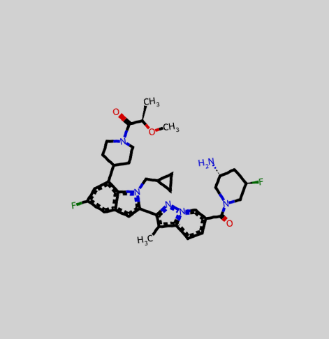 CO[C@H](C)C(=O)N1CCC(c2cc(F)cc3cc(-c4nn5cc(C(=O)N6C[C@H](N)C[C@@H](F)C6)ccc5c4C)n(CC4CC4)c23)CC1